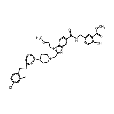 COCCn1c(CN2CCC(c3cccc(OCc4ccc(Cl)cc4F)n3)CC2)nc2cc(C(=O)NCc3ccc(O)c(C(=O)OC)c3)ccc21